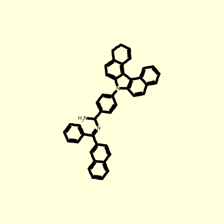 NC(/N=C(\c1ccccc1)c1ccc2ccccc2c1)c1ccc(-n2c3ccc4c(c3c3c5ccccc5ccc32)C=CCC4)cc1